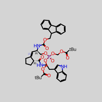 CC(C)(C)C(=O)OCOP(=O)(OCOC(=O)C(C)(C)C)OC[C@@H](/C=C1/CCC[C@H]1C(=O)NCCc1c[nH]c2ccccc12)NC(=O)OCC1c2ccccc2-c2ccccc21